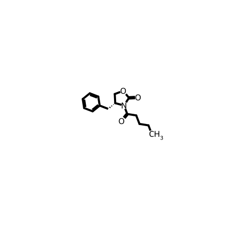 CCCCC(=O)N1C(=O)OC[C@H]1Cc1ccccc1